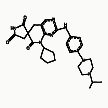 CC(C)N1CCN(c2ccc(Nc3ncc4c(n3)N(C3CCCC3)C(=O)C3(CC(=O)NC3=O)C4)cc2)CC1